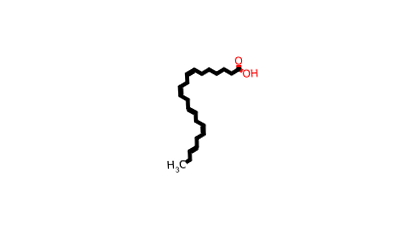 CC/C=C/C/C=C\C/C=C/C/C=C\C/C=C\CCCCCC(=O)O